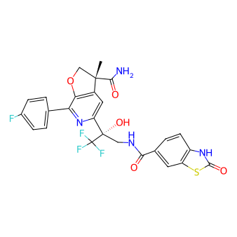 C[C@]1(C(N)=O)COc2c1cc([C@@](O)(CNC(=O)c1ccc3[nH]c(=O)sc3c1)C(F)(F)F)nc2-c1ccc(F)cc1